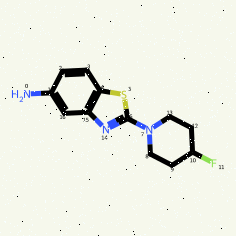 Nc1ccc2sc(N3CCC(F)CC3)nc2c1